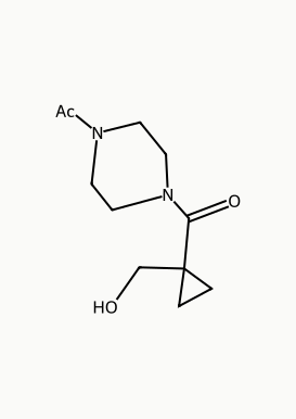 CC(=O)N1CCN(C(=O)C2(CO)CC2)CC1